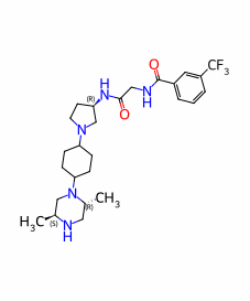 C[C@@H]1CN[C@@H](C)CN1C1CCC(N2CC[C@@H](NC(=O)CNC(=O)c3cccc(C(F)(F)F)c3)C2)CC1